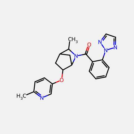 Cc1ccc(OC2CC3CC2N(C(=O)c2ccccc2-n2nccn2)C3C)cn1